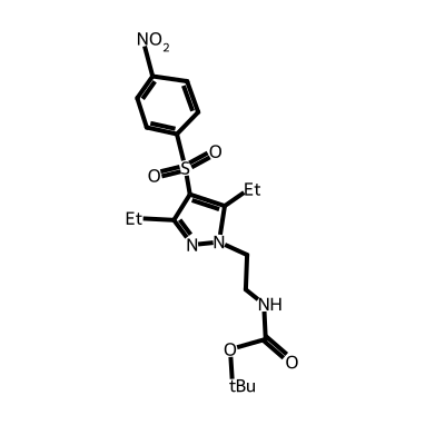 CCc1nn(CCNC(=O)OC(C)(C)C)c(CC)c1S(=O)(=O)c1ccc([N+](=O)[O-])cc1